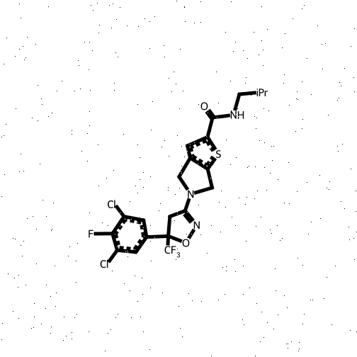 CC(C)CNC(=O)c1cc2c(s1)CN(C1=NOC(c3cc(Cl)c(F)c(Cl)c3)(C(F)(F)F)C1)C2